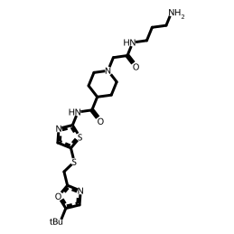 CC(C)(C)c1cnc(CSc2cnc(NC(=O)C3CCN(CC(=O)NCCCN)CC3)s2)o1